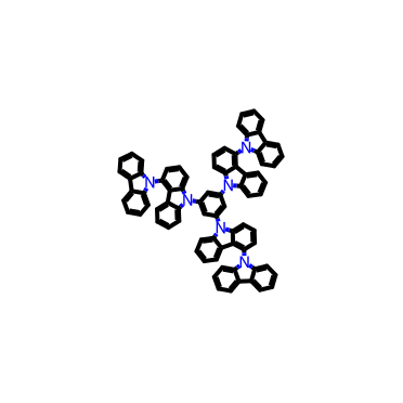 c1ccc2c(c1)c1ccccc1n2-c1cccc2c1c1ccccc1n2-c1cc(-n2c3ccccc3c3c(-n4c5ccccc5c5ccccc54)cccc32)cc(-n2c3ccccc3c3c(-n4c5ccccc5c5ccccc54)cccc32)c1